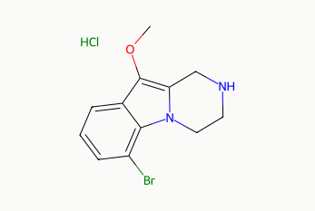 COc1c2n(c3c(Br)cccc13)CCNC2.Cl